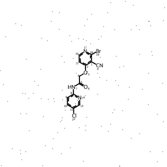 N#Cc1c(OCC(=O)Nc2ccc(Cl)cn2)ccnc1Br